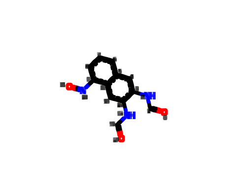 O=CNc1cc2cccc(N=O)c2cc1NC=O